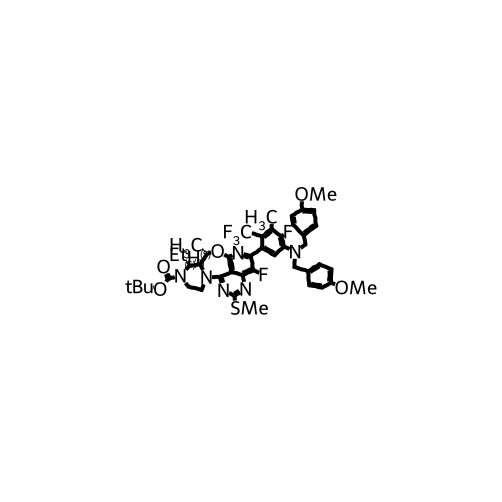 CC[C@H]1[C@H]2[C@H](C)Oc3nc(-c4cc(N(Cc5ccc(OC)cc5)Cc5ccc(OC)cc5)c(F)c(C)c4C(F)(F)F)c(F)c4nc(SC)nc(c34)N2CCN1C(=O)OC(C)(C)C